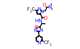 CC(NC(=O)c1cc(C(F)(F)F)nn1CC(=O)N(C)C)c1nc(-c2ccnc(C(F)(F)F)c2)no1